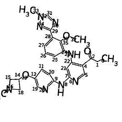 CCC(=O)c1cnc(Nc2ccc(OC3CN(C)C3)cn2)cc1Nc1cccc(-c2ncn(C)n2)c1OC